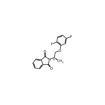 C[C@H](COc1cc(F)ccc1F)N1C(=O)c2ccccc2C1=O